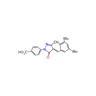 CC1=NN(c2ccc(C(=O)O)cc2)C(=O)/C1=C/c1cc(C(C)(C)C)cc(C(C)(C)C)c1